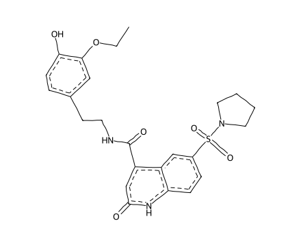 CCOc1cc(CCNC(=O)c2cc(=O)[nH]c3ccc(S(=O)(=O)N4CCCC4)cc23)ccc1O